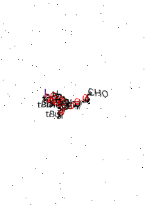 C=C1C(C[C@@H]2OC(CC(CO[Si](C)(C)C(C)(C)C)O[Si](C)(C)C(C)(C)C)[C@H](OC)C2CC(=O)CC2CC[C@@H]3OC(C(/C=C/I)O[Si](C)(C)C(C)(C)C)C(O[Si](C)(C)C(C)(C)C)C(O[Si](C)(C)C(C)(C)C)[C@H]3O2)O[C@@H](CC[C@@H]2OC(CCC=O)CC2=C)C[C@H]1C